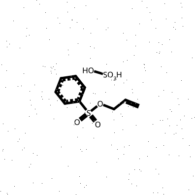 C=CCOS(=O)(=O)c1ccccc1.O=S(=O)(O)O